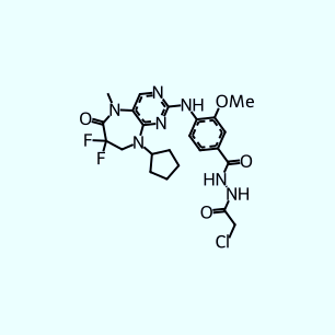 COc1cc(C(=O)NNC(=O)CCl)ccc1Nc1ncc2c(n1)N(C1CCCC1)CC(F)(F)C(=O)N2C